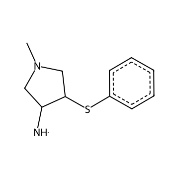 CN1CC([NH])C(Sc2ccccc2)C1